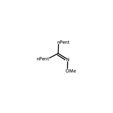 CCCCCC(CCCCC)=NOC